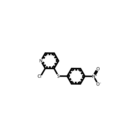 O=[N+]([O-])c1ccc(Sc2cccnc2Cl)cc1